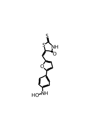 O=C1NC(=S)S/C1=C/c1ccc(-c2ccc(NO)cc2)o1